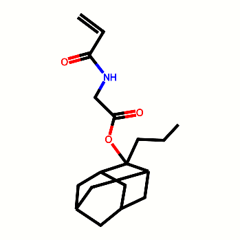 C=CC(=O)NCC(=O)OC1(CCC)C2CC3CC(C2)CC1C3